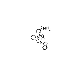 CC(N)c1cccc(C(=O)N2C3CCCCC3C[C@H]2C(=O)N[C@@H]2CCc3ccccc32)c1